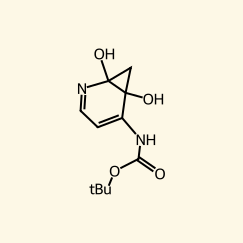 CC(C)(C)OC(=O)NC1=CC=NC2(O)CC12O